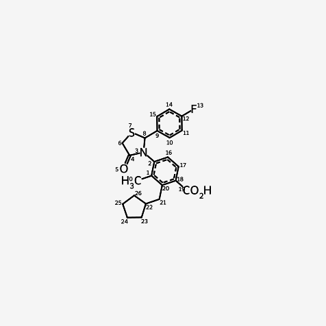 Cc1c(N2C(=O)CSC2c2ccc(F)cc2)ccc(C(=O)O)c1CC1CCCC1